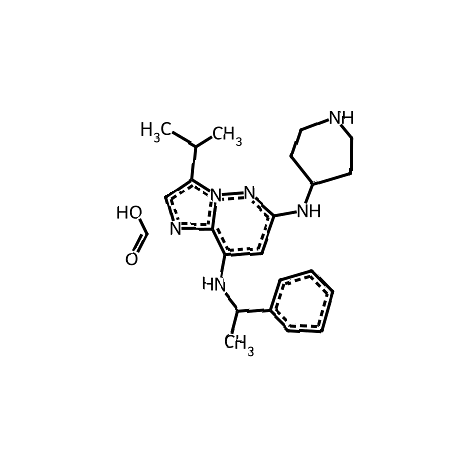 CC(C)c1cnc2c(NC(C)c3ccccc3)cc(NC3CCNCC3)nn12.O=CO